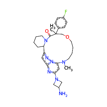 CN1CCCCOCC(C)(c2ccc(F)cc2)C(=O)N2CCCCC2c2cc3nc(N4CC(N)C4)cc1n3n2